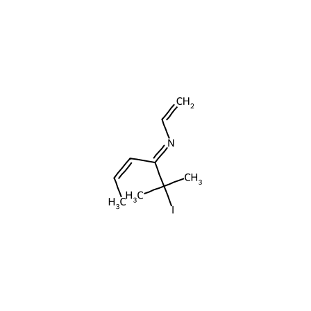 C=C/N=C(\C=C/C)C(C)(C)I